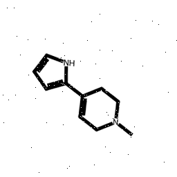 CN1CC=C(c2ccc[nH]2)CC1